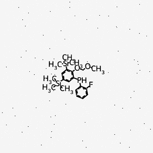 COCOc1c(Pc2ccccc2F)cc([Si](C)(C)C)cc1[Si](C)(C)C